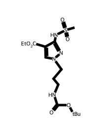 CCOC(=O)c1cn(CCCNC(=O)OC(C)(C)C)nc1NS(C)(=O)=O